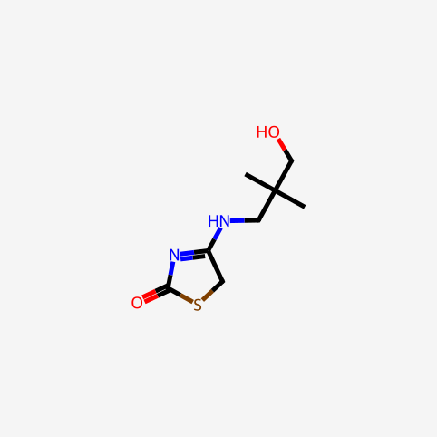 CC(C)(CO)CNC1=NC(=O)SC1